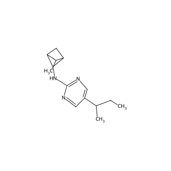 CCC(C)c1cnc(NC2C3CC2C3C)nc1